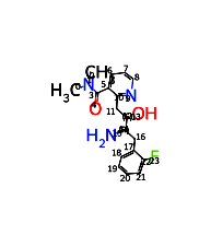 CN(C)C(=O)c1cccnc1C[C@H](O)[C@H](N)Cc1ccccc1F